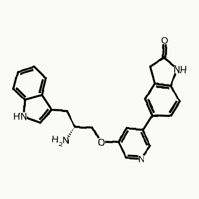 N[C@@H](COc1cncc(-c2ccc3c(c2)CC(=O)N3)c1)Cc1c[nH]c2ccccc12